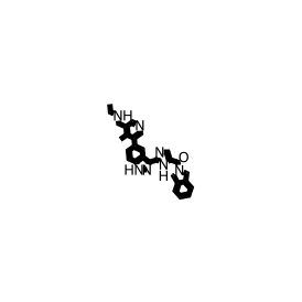 CCNCc1cncc(-c2ccc3[nH]nc(-c4ncc(C(=O)N5Cc6ccccc6C5)[nH]4)c3c2)c1C